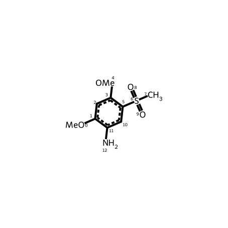 COc1cc(OC)c(S(C)(=O)=O)cc1N